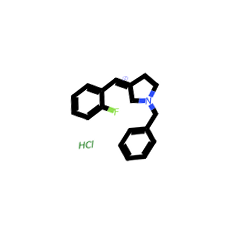 Cl.Fc1ccccc1/C=C1/CCN(Cc2ccccc2)C1